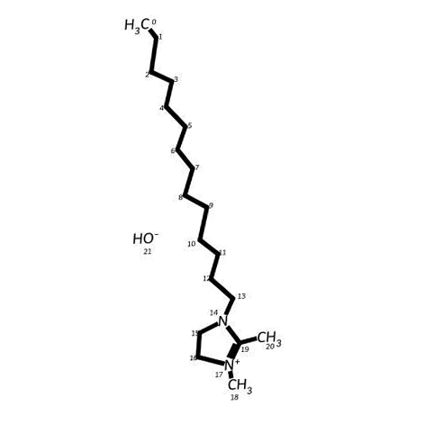 CCCCCCCCCCCCCCN1CC[N+](C)=C1C.[OH-]